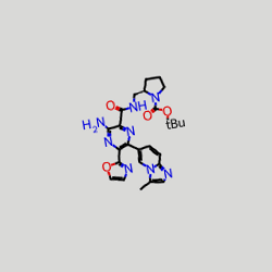 Cc1cnc2ccc(-c3nc(C(=O)NC[C@H]4CCCN4C(=O)OC(C)(C)C)c(N)nc3-c3ncco3)cn12